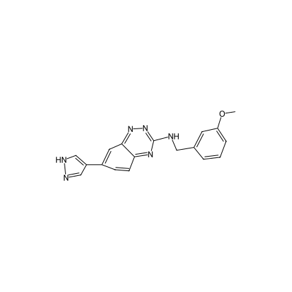 COc1cccc(CNc2nnc3cc(-c4cn[nH]c4)ccc3n2)c1